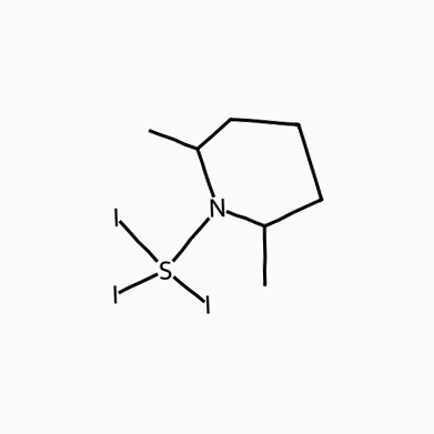 CC1CCCC(C)N1S(I)(I)I